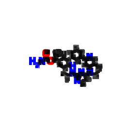 CC(Cc1cccc([C@@H](OC(N)=O)C(C)(C)C)c1)Nc1nccc(N2CCCc3cnc(-c4ccccc4)cc32)n1